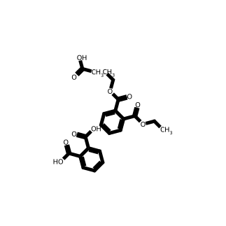 CC(=O)O.CCOC(=O)c1ccccc1C(=O)OCC.O=C(O)c1ccccc1C(=O)O